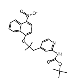 CC(C)(C)OC(=O)Nc1cc(CC(C)(C)Oc2ccc([N+](=O)[O-])c3ccccc23)ccn1